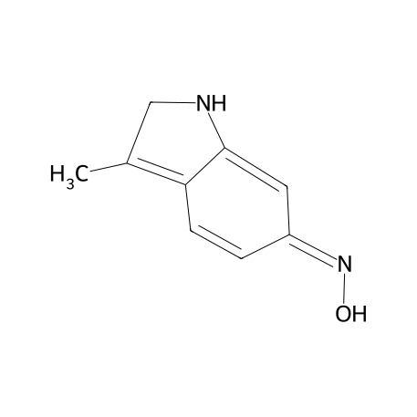 CC1=C2C=CC(=NO)C=C2NC1